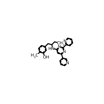 CCC(Cc1ccc(C)c(O)c1)Nc1cc(-c2cccnc2)nc(-c2ccccn2)n1